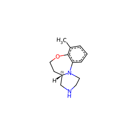 Cc1cccc2c1OCC[C@H]1CNCCN21